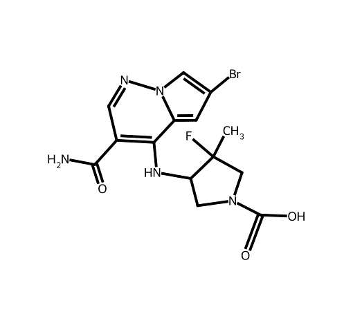 CC1(F)CN(C(=O)O)CC1Nc1c(C(N)=O)cnn2cc(Br)cc12